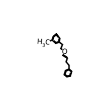 Cc1cccc(CCOC=CCCc2ccccc2)c1